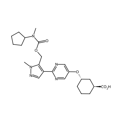 CN(C(=O)OCc1c(-c2ncc(O[C@H]3CCC[C@H](C(=O)O)C3)cn2)cnn1C)C1CCCC1